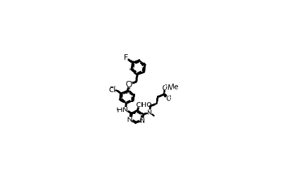 COC(=O)CCCN(C)c1ncnc(Nc2ccc(OCc3cccc(F)c3)c(Cl)c2)c1C=O